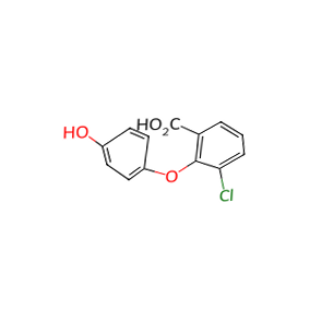 O=C(O)c1cccc(Cl)c1Oc1ccc(O)cc1